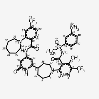 Cc1c(C(F)(F)F)nnc(N2CCCC(c3cc(NC(=O)c4nnc(C(F)(F)F)cc4N4CCCCCC4)cc(=O)[nH]3)CC2)c1C(=O)N=S(C)(=O)c1cccc(N)c1